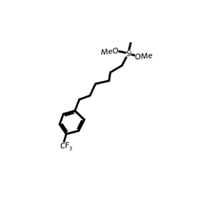 CO[Si](C)(CCCCCCc1ccc(C(F)(F)F)cc1)OC